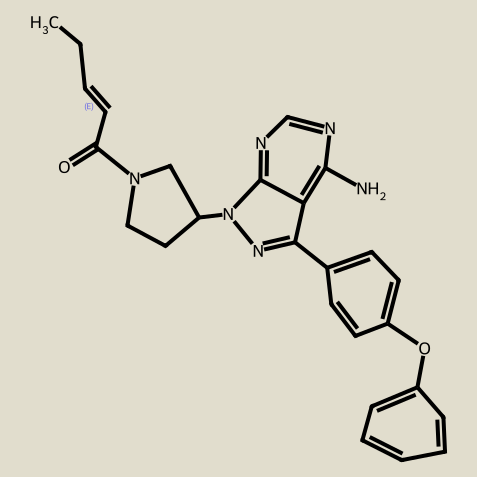 CC/C=C/C(=O)N1CCC(n2nc(-c3ccc(Oc4ccccc4)cc3)c3c(N)ncnc32)C1